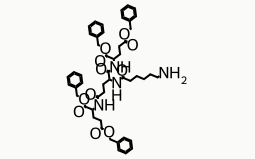 NCCCCCC(=O)NC(CCC(=O)NC(CCC(=O)OCc1ccccc1)C(=O)OCc1ccccc1)C(=O)NC(CCC(=O)OCc1ccccc1)C(=O)OCc1ccccc1